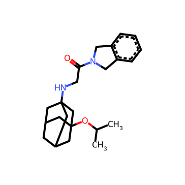 CC(C)OC12CC3CC(CC(NCC(=O)N4Cc5ccccc5C4)(C3)C1)C2